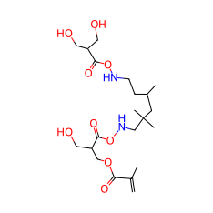 C=C(C)C(=O)OCC(CO)C(=O)ONCC(C)(C)CC(C)CCNOC(=O)C(CO)CO